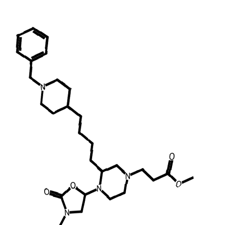 COC(=O)CCN1CCN(C2CN(C)C(=O)O2)C(CCCCC2CCN(Cc3ccccc3)CC2)C1